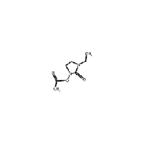 CCN1CCN(OC(C)=O)C1=O